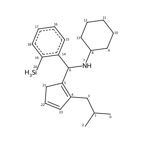 CC(C)CC1=C(C(NC2CCCCC2)c2ccccc2[SiH3])CC=C1